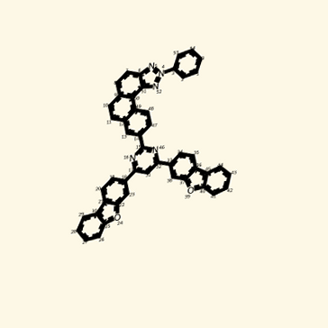 c1ccc(-n2nc3ccc4ccc5cc(-c6nc(-c7ccc8c(c7)oc7ccccc78)cc(-c7ccc8c(c7)oc7ccccc78)n6)ccc5c4c3n2)cc1